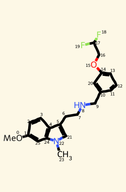 COc1ccc2c(CCNCc3cccc(OCC(F)F)c3)cn(C)c2c1